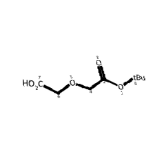 CC(C)(C)OC(=O)COCC(=O)O